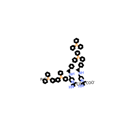 O=C([O-])CC1(N2CCC(CN[C@@H]3C[C@H]3c3ccccc3)CC2)CNC1.O=C([O-])CC1(N2CCC(CN[C@@H]3C[C@H]3c3ccccc3)CC2)CNC1.[Pd+2].c1ccc(P(c2ccccc2)c2ccccc2)cc1.c1ccc(P(c2ccccc2)c2ccccc2)cc1.c1ccc(P(c2ccccc2)c2ccccc2)cc1.c1ccc(P(c2ccccc2)c2ccccc2)cc1